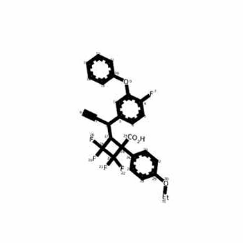 C#CC(c1ccc(F)c(Oc2ccccc2)c1)C1C(F)(F)C(F)(F)C1(C(=O)O)c1ccc(OCC)cc1